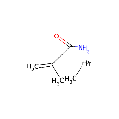 C=C(C)C(N)=O.CCCC